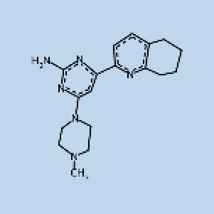 CN1CCN(c2cc(-c3ccc4c(n3)CCCC4)nc(N)n2)CC1